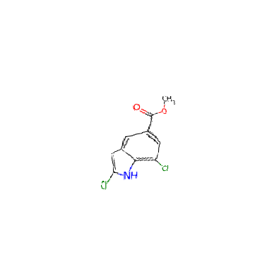 COC(=O)c1cc(Cl)c2[nH]c(Cl)cc2c1